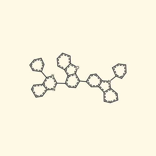 c1ccc(-c2nc(-c3ccc(-c4ccc5c(c4)c4ccccc4n5-c4ccccc4)c4oc5ccccc5c34)nc3ccccc23)cc1